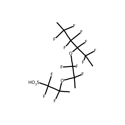 CC(F)(F)C(F)(F)C(F)(OC(F)(F)C(C)(F)OC(C)(F)C(F)(F)S(=O)(=O)O)C(C)(F)F